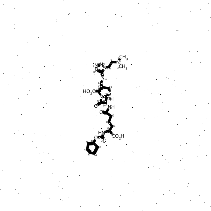 CN(C)CCn1nnnc1SCC1=C(C(=O)O)N2C(=O)[C@@H](NC(=O)CCCC(NC(=O)Oc3ccccc3)C(=O)O)[C@@H]2SC1